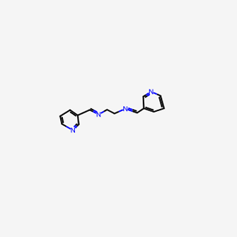 C(=N\CC/N=C/c1cccnc1)/c1cccnc1